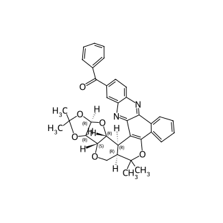 CC1(C)O[C@H]2O[C@H]3[C@H](OC[C@H]4[C@@H]3c3c(c5ccccc5c5nc6ccc(C(=O)c7ccccc7)cc6nc35)OC4(C)C)[C@H]2O1